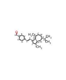 Cc1cc(/C=C/c2ccc(C=O)cc2)c2c(C)ccc(C(C)C)cc1-2